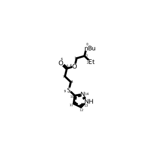 CCCCC(CC)COC(=O)CCSc1cc[nH]n1